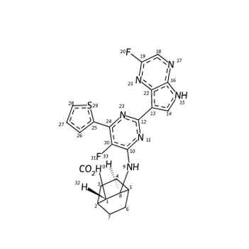 O=C(O)[C@H]1C2CCC(CC2)[C@@H]1Nc1nc(-c2c[nH]c3ncc(F)nc23)nc(-c2cccs2)c1F